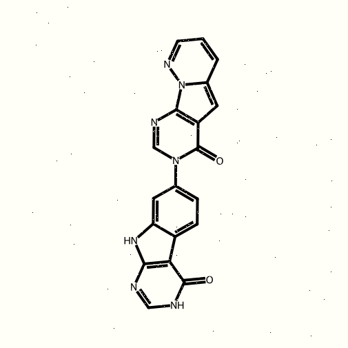 O=c1[nH]cnc2[nH]c3cc(-n4cnc5c(cc6cccnn65)c4=O)ccc3c12